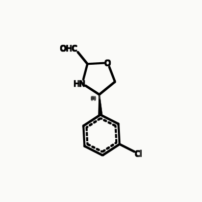 O=CC1N[C@H](c2cccc(Cl)c2)CO1